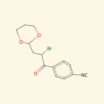 [C-]#[N+]c1ccc(C(=O)C(Br)CC2OCCCO2)cc1